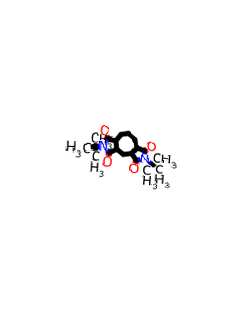 CC(C)(C)N1C(=O)C2CCCC3C(=O)N(C(C)(C)C)C(=O)C3CC2C1=O